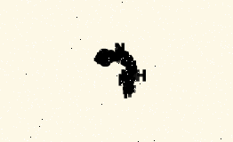 Cc1c(CN2CCC(Nc3ncnc4sc(CC(F)(F)F)cc34)CC2)ccc2c1cc(C#N)n2C[C@H](C)N1CCN(S(=O)(=O)N2CCC2)CC1